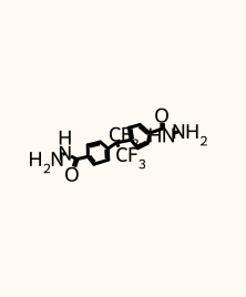 NNC(=O)c1ccc(C(c2ccc(C(=O)NN)cc2)(C(F)(F)F)C(F)(F)F)cc1